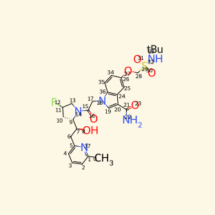 Cc1cccc(C[C@H](O)[C@@H]2C[C@@H](F)CN2C(=O)Cn2cc(C(N)=O)c3cc(OCS(=O)(=O)NC(C)(C)C)ccc32)n1